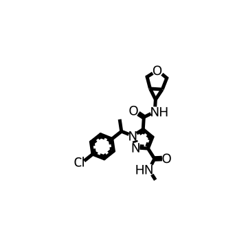 CNC(=O)c1cc(C(=O)NC2C3COCC32)n(C(C)c2ccc(Cl)cc2)n1